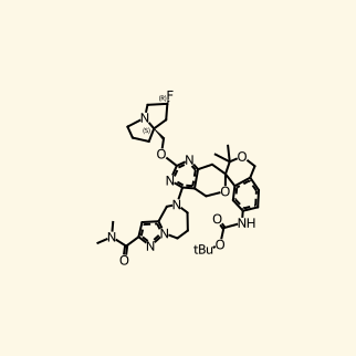 CN(C)C(=O)c1cc2n(n1)CCCN(c1nc(OC[C@@]34CCCN3C[C@H](F)C4)nc3c1COC1(C3)c3cc(NC(=O)OC(C)(C)C)ccc3COC1(C)C)C2